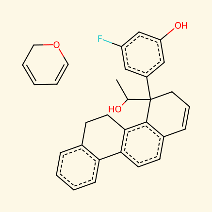 C1=CCOC=C1.CC(O)C1(c2cc(O)cc(F)c2)CC=Cc2ccc3c(c21)CCc1ccccc1-3